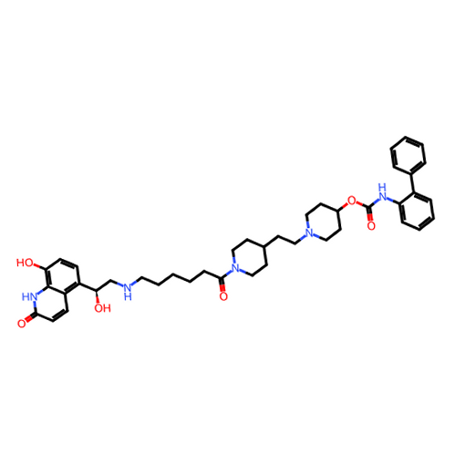 O=C(Nc1ccccc1-c1ccccc1)OC1CCN(CCC2CCN(C(=O)CCCCCNC[C@@H](O)c3ccc(O)c4[nH]c(=O)ccc34)CC2)CC1